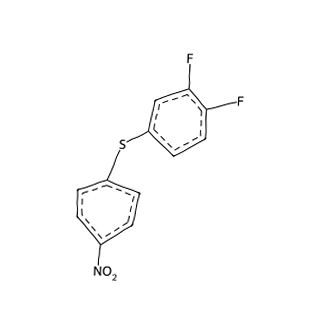 O=[N+]([O-])c1ccc(Sc2ccc(F)c(F)c2)cc1